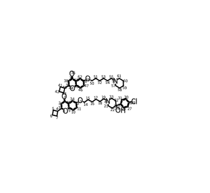 O=c1cc(C2CCC2)oc2ccc(OCCCCCCN3CCC(O)(c4ccc(Cl)cc4)CC3)cc12.O=c1cc(C2CCC2)oc2ccc(OCCCCCCN3CCCCC3)cc12